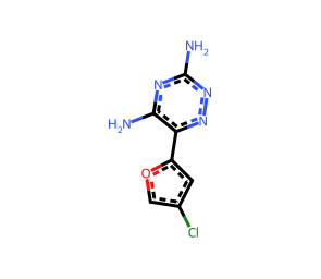 Nc1nnc(-c2cc(Cl)co2)c(N)n1